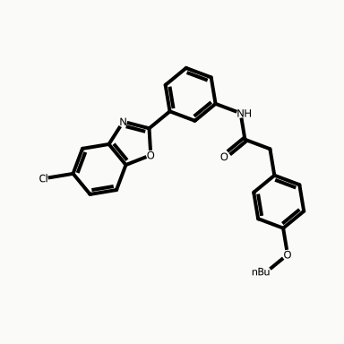 CCCCOc1ccc(CC(=O)Nc2cccc(-c3nc4cc(Cl)ccc4o3)c2)cc1